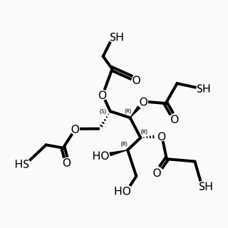 O=C(CS)OC[C@H](OC(=O)CS)[C@@H](OC(=O)CS)[C@H](OC(=O)CS)[C@H](O)CO